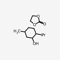 CC1CCC(C(C)C)C(O)C1.O=C1OCCO1